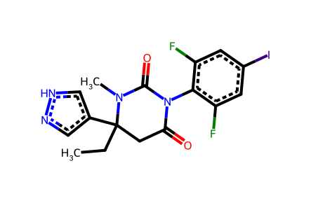 CCC1(c2cn[nH]c2)CC(=O)N(c2c(F)cc(I)cc2F)C(=O)N1C